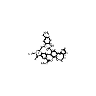 CCCNC(=O)c1ccc(-c2cc3c(cc2C(=O)Nc2ccc(CN)cc2OCCF)-c2sccc2CCO3)c(C(=O)OC)n1